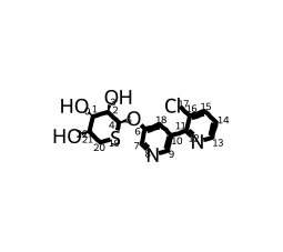 O[C@@H]1[C@@H](O)[C@@H](Oc2cncc(-c3ncccc3Cl)c2)SC[C@H]1O